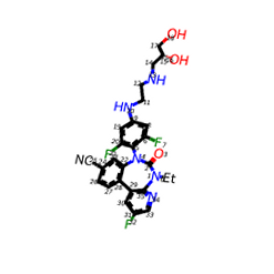 CCN1C(=O)N(c2c(F)cc(NCCNC[C@@H](O)CO)cc2F)c2cc(C#N)ccc2-c2cc(F)cnc21